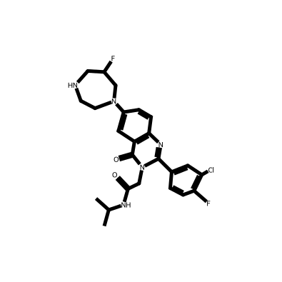 CC(C)NC(=O)Cn1c(-c2ccc(F)c(Cl)c2)nc2ccc(N3CCNCC(F)C3)cc2c1=O